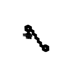 c1ccc(CCCCCCCCc2ccccc2-c2nnn[nH]2)cc1